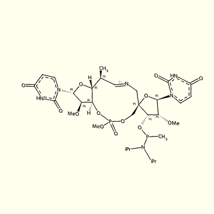 CO[C@@H]1[C@@H]2OP(=O)(OC)OC[C@@]3(C/N=C/[C@H](C)[C@H]2O[C@H]1n1ccc(=O)[nH]c1=O)O[C@@H](n1ccc(=O)[nH]c1=O)[C@H](OC)[C@@H]3OP(C)N(C(C)C)C(C)C